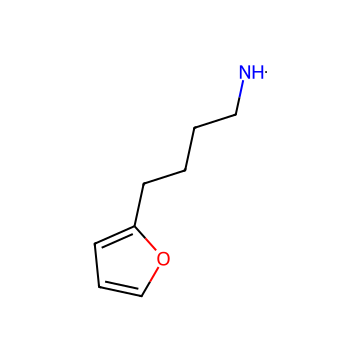 [NH]CCCCc1ccco1